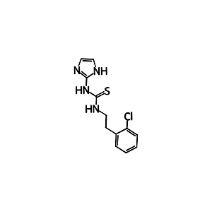 S=C(NCCc1ccccc1Cl)Nc1ncc[nH]1